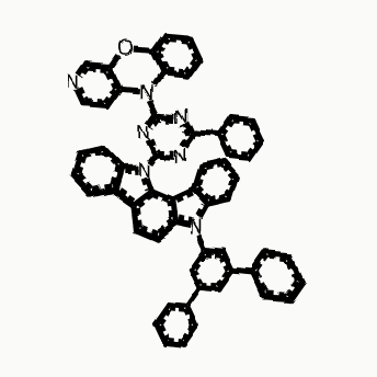 c1ccc(-c2cc(-c3ccccc3)cc(-n3c4ccccc4c4c3ccc3c5ccccc5n(-c5nc(-c6ccccc6)nc(N6c7ccccc7Oc7cnccc76)n5)c34)c2)cc1